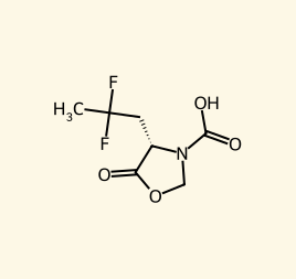 CC(F)(F)C[C@H]1C(=O)OCN1C(=O)O